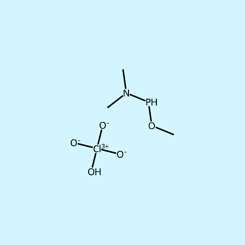 COPN(C)C.[O-][Cl+3]([O-])([O-])O